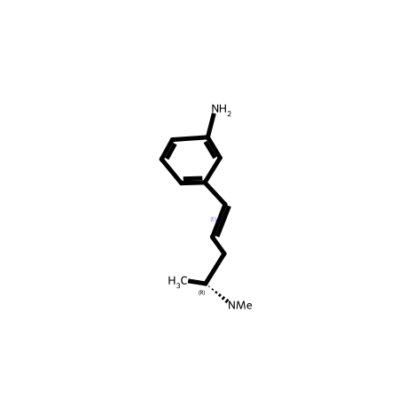 CN[C@H](C)C/C=C/c1cccc(N)c1